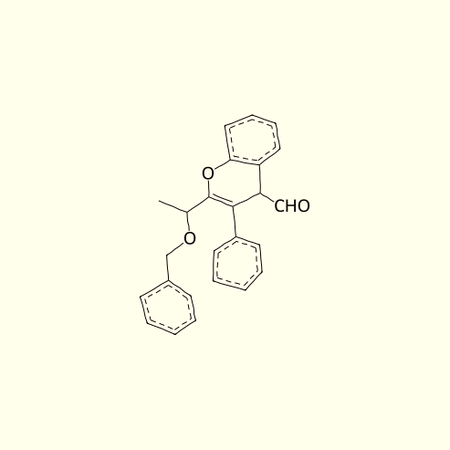 CC(OCc1ccccc1)C1=C(c2ccccc2)C(C=O)c2ccccc2O1